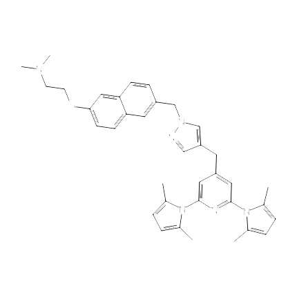 Cc1ccc(C)n1-c1cc(Cc2cnn(Cc3ccc4cc(OCCN(C)C)ccc4c3)c2)cc(-n2c(C)ccc2C)n1